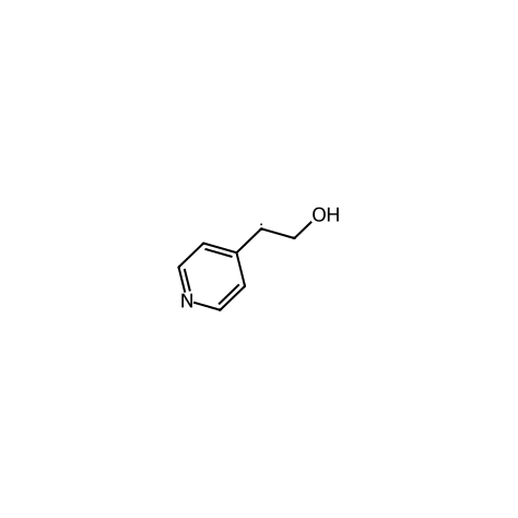 OC[CH]c1ccncc1